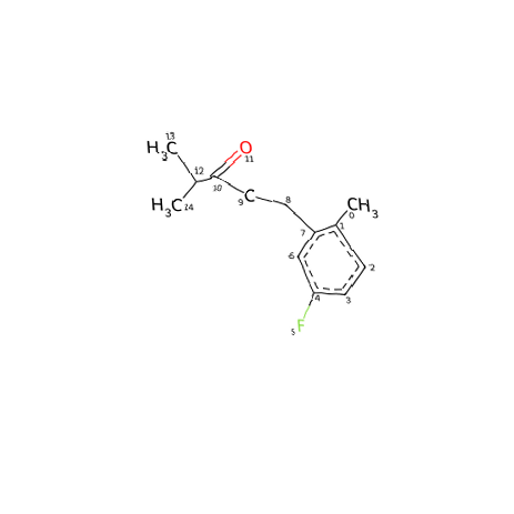 Cc1ccc(F)cc1CCC(=O)C(C)C